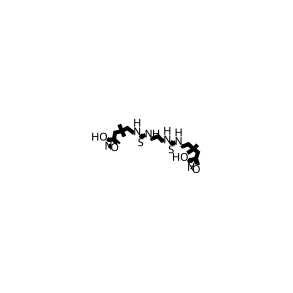 CC(C)(CCNC(=S)NCCCNC(=S)NCCC(C)(C)Cc1conc1O)Cc1conc1O